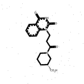 O=C(O)[C@@H]1CCCN(C(=O)CCn2c(=O)[nH]c(=O)c3ccccc32)C1